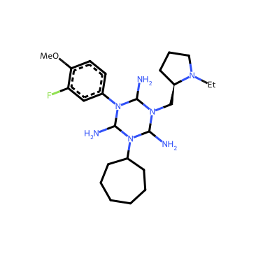 CCN1CCC[C@@H]1CN1C(N)N(c2ccc(OC)c(F)c2)C(N)N(C2CCCCCC2)C1N